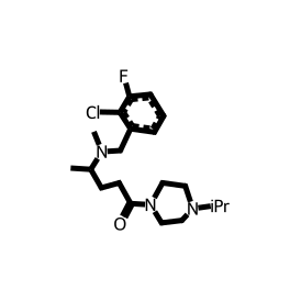 CC(CCC(=O)N1CCN(C(C)C)CC1)N(C)Cc1cccc(F)c1Cl